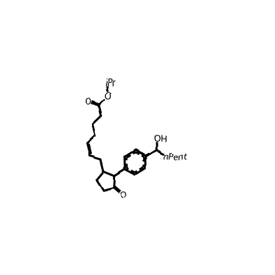 CCCCCC(O)c1ccc(C2C(=O)CCC2C/C=C\CCCC(=O)OC(C)C)cc1